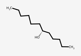 CCCCCC[C@@H](O)CCCCC